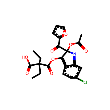 CCC(CC)(C(=O)O)C(=O)OC1=c2ccc(Cl)cc2=NC1(OC(C)=O)C(=O)c1ccco1